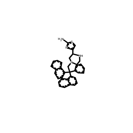 Nc1nc(C2CN(CC(c3ccccc3)(c3cccc4ccccc34)c3cccc4ccccc34)CCN2)cs1